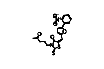 CC(=O)CCCN1C(=O)/C(=C\c2ccc(-c3ccccc3[N+](=O)[O-])o2)SC1=S